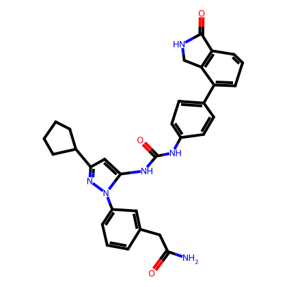 NC(=O)Cc1cccc(-n2nc(C3CCCC3)cc2NC(=O)Nc2ccc(-c3cccc4c3CNC4=O)cc2)c1